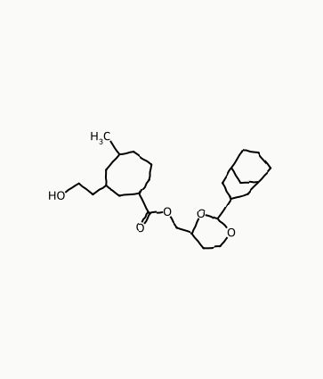 CC1CCCC(C(=O)OCC2CCOC(C3CC4CCCC(C4)C3)O2)CC(CCO)C1